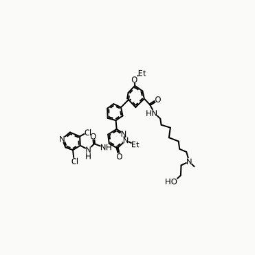 CCOc1cc(C(=O)NCCCCCCCN(C)CCO)cc(-c2cccc(-c3cc(NC(=O)Nc4c(Cl)cncc4Cl)c(=O)n(CC)n3)c2)c1